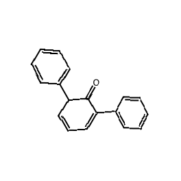 O=C1C(c2ccccc2)=CC=CC1c1ccccc1